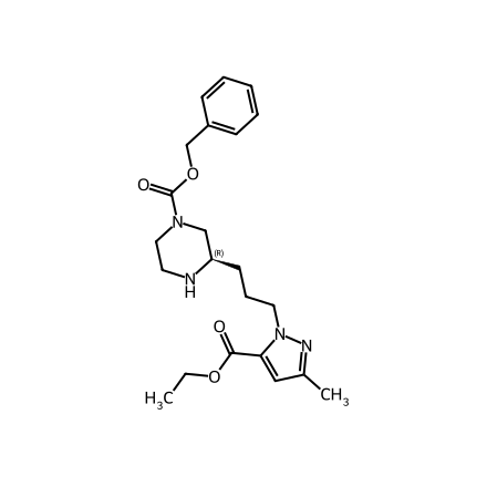 CCOC(=O)c1cc(C)nn1CCC[C@@H]1CN(C(=O)OCc2ccccc2)CCN1